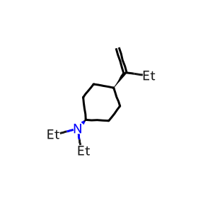 C=C(CC)[C@H]1CC[C@@H](N(CC)CC)CC1